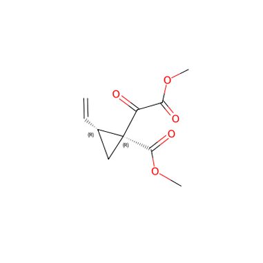 C=C[C@H]1C[C@]1(C(=O)OC)C(=O)C(=O)OC